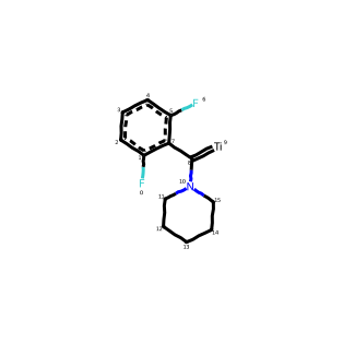 Fc1cccc(F)c1[C](=[Ti])N1CCCCC1